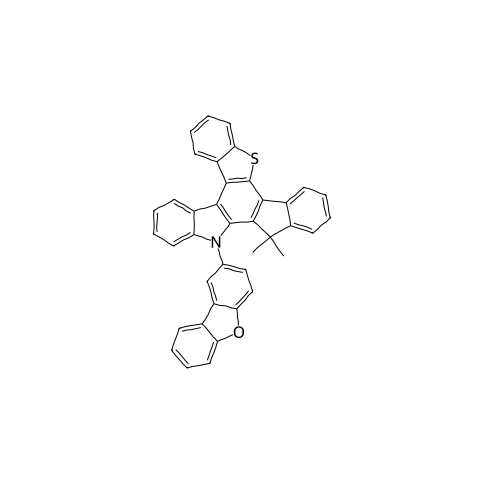 CC1(C)c2ccccc2-c2c1c1c(c3ccccc3n1-c1ccc3oc4ccccc4c3c1)c1c2sc2ccccc21